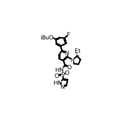 CC[C@@H]1CCCN1c1nc(-c2cc(F)cc(OCC(C)C)c2)ccc1C(=O)NS(=O)(=O)c1ccn[nH]1